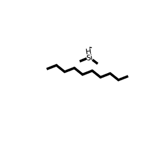 CCCCCCCCCC.C[SiH](C)C